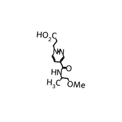 COCC(C)NC(=O)c1cc[n+](CCC(=O)O)nc1